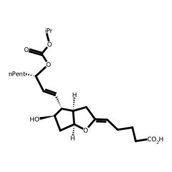 CCCCC[C@@H](/C=C/[C@@H]1[C@H]2C/C(=C/CCCC(=O)O)O[C@H]2C[C@H]1O)OC(=O)OC(C)C